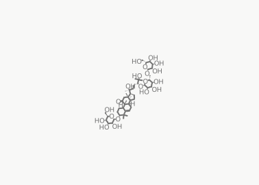 CC(C)(O)[C@@H](CC[C@](C)(O)[C@H]1CC[C@@]2(C)[C@@H]3CC=C4[C@@H](CC[C@H](O[C@@H]5O[C@H](CO)[C@@H](O)[C@H](O)[C@H]5O)C4(C)C)[C@]3(C)C(=O)C[C@]12C)O[C@@H]1O[C@H](CO[C@@H]2O[C@H](CO)[C@@H](O)[C@H](O)[C@H]2O)[C@@H](O)[C@H](O)[C@H]1O